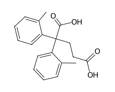 Cc1ccccc1C(CCC(=O)O)(C(=O)O)c1ccccc1C